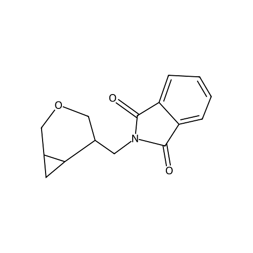 O=C1c2ccccc2C(=O)N1CC1COCC2CC21